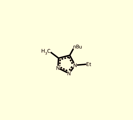 CCCCc1c(C)nnn1CC